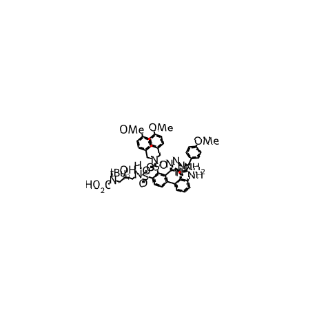 COc1ccc(CN(Cc2ccc(OC)cc2)S(=O)(=O)c2c(S(=O)(=O)NC[C@@H](O)CN(C(=O)O)C(C)(C)C)ccc(-c3cccc4[nH]c(N)nc34)c2-c2nnn(Cc3ccc(OC)cc3)n2)cc1